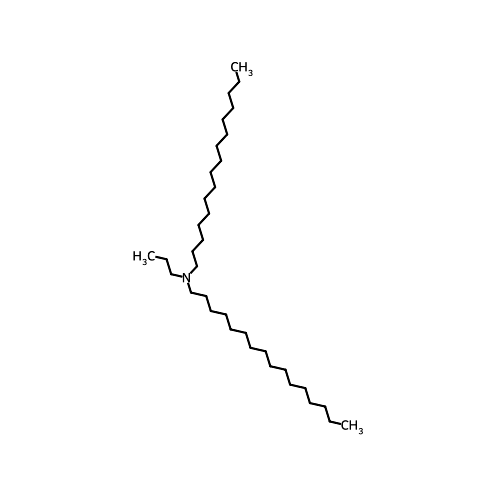 CCCCCCCCCCCCCCCCN(CCC)CCCCCCCCCCCCCCCC